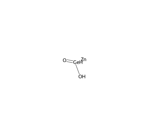 [O]=[GeH][OH].[Zn]